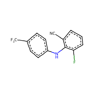 N#Cc1cccc(F)c1Nc1ccc(C(F)(F)F)cc1